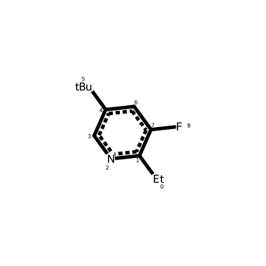 CCc1ncc(C(C)(C)C)cc1F